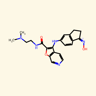 CN(C)CCNC(=O)c1oc2cnccc2c1Nc1ccc2c(c1)CC/C2=N/O